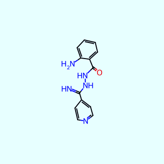 N=C(NNC(=O)c1ccccc1N)c1ccncc1